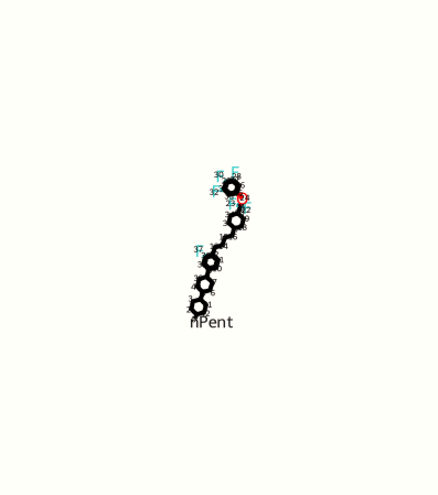 CCCCCC1CCC(C2CCC(c3ccc(CCCCC4CCC(C(F)(F)Oc5cc(F)c(F)c(F)c5)CC4)c(F)c3)CC2)CC1